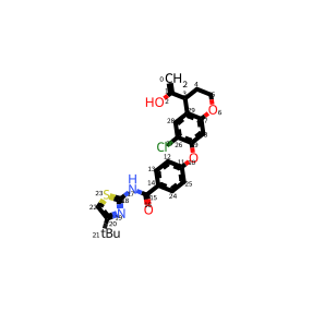 C=C(O)C1CCOc2cc(Oc3ccc(C(=O)Nc4nc(C(C)(C)C)cs4)cc3)c(Cl)cc21